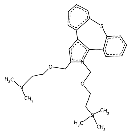 CN(C)CCOCc1cc2c(n1COCC[Si](C)(C)C)-c1ccccc1Sc1ccccc1-2